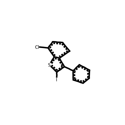 Clc1cccc2c(-c3ccccc3)c(I)sc12